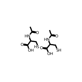 CC(=O)NC(CS)C(=O)O.CC(=O)NC(CS)C(=O)O